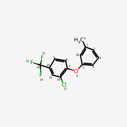 Cc1cccc(Oc2ccc(C(F)(F)F)cc2Cl)c1